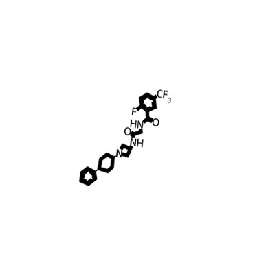 O=C(CNC(=O)c1cc(C(F)(F)F)ccc1F)NC1CN([C@H]2CC[C@@H](c3ccccc3)CC2)C1